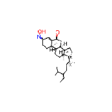 CCC(CC[C@@H](C)[C@H]1CC[C@H]2[C@@H]3CC(=O)C4=CC(=NO)CC[C@]4(C)[C@H]3CC[C@]12C)C(C)C